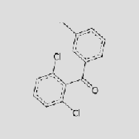 [CH2]c1cccc(C(=O)c2c(Cl)cccc2Cl)c1